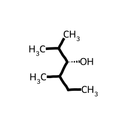 CCC(C)[C@@H](O)C(C)C